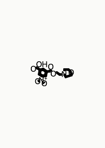 O=C(O)c1cc(C(=O)OCCN2CCOCC2)cc([N+](=O)[O-])c1